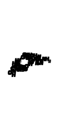 Nc1ncnc2c1ncn2[C@@H]1O[C@@H]2COP(=O)(S)O[C@@H]3[C@H](O)[C@@H](COP(=O)(S)O[C@H]2[C@H]1O)O[C@H]3n1ccc(=O)[nH]c1=O